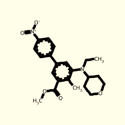 CCN(c1cc(-c2ccc([N+](=O)[O-])cc2)cc(C(=O)OC)c1C)C1CCOCC1